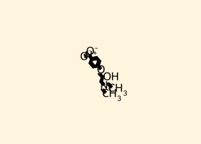 CCN(CC)CC(O)COc1ccc([N+](=O)[O-])cc1